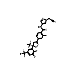 Cc1cc(C2=NO[C@@](c3cc(C(F)(F)F)cc(Cl)c3F)(C(F)(F)F)C2)ccc1C(=O)Nc1cnn(CC#N)c1